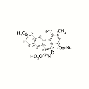 CCCCOc1cc(C)c(C(C)C)cc1-c1onc(C(=O)O)c1-c1ccc2c(c1)CCN(C)C2